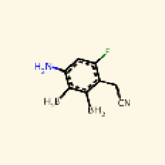 Bc1c(N)cc(F)c(CC#N)c1B